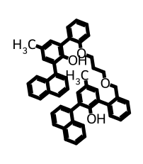 Cc1cc(-c2ccccc2COCCCOc2ccccc2-c2cc(C)cc(-c3cccc4ccccc34)c2O)c(O)c(-c2cccc3ccccc23)c1